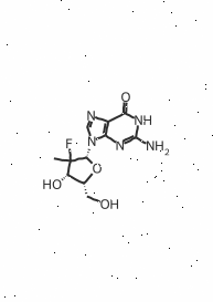 CC1(F)[C@@H](O)[C@@H](CO)O[C@H]1n1cnc2c(=O)[nH]c(N)nc21